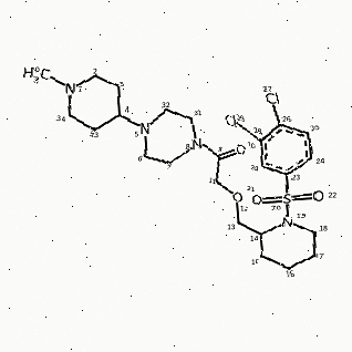 CN1CCC(N2CCN(C(=O)COCC3CCCCN3S(=O)(=O)c3ccc(Cl)c(Cl)c3)CC2)CC1